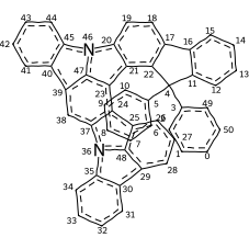 c1ccc(C2(c3ccccc3)c3ccccc3-c3ccc4c(c32)c2c3c5cccc6c7ccccc7n(c3cc3c7ccccc7n4c32)c65)cc1